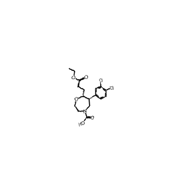 CCOC(=O)CC[C@@H]1OCCN(C(=O)O)C[C@@H]1c1ccc(Cl)c(Cl)c1